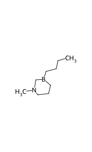 CCCCB1CCCN(C)C1